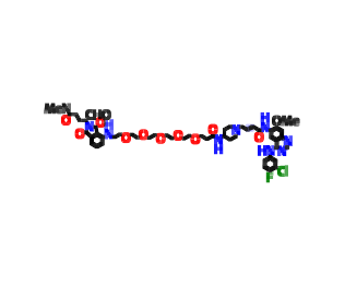 CNC(=O)CCC(C=O)N1C(=O)c2cccc(NCCOCCOCCOCCOCCOCCC(=O)NC3CCN(C/C=C/C(=O)Nc4cc5c(Nc6ccc(F)c(Cl)c6)ncnc5cc4OC)CC3)c2C1=O